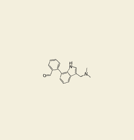 CN(C)Cc1c[nH]c2c(-c3ccccc3C=O)cccc12